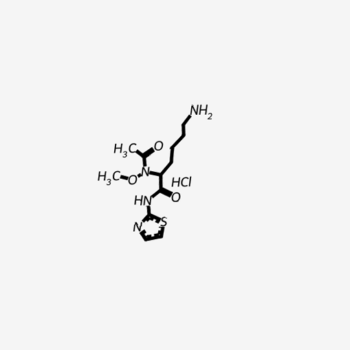 CON(C(C)=O)C(CCCCN)C(=O)Nc1nccs1.Cl